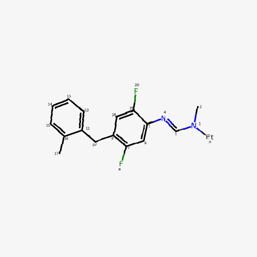 CCN(C)C=Nc1cc(F)c(Cc2ccccc2C)cc1F